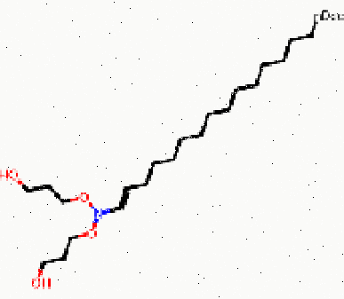 CCCCCCCCCCCCCCCCCCCCCCCC=CN(OCCCO)OCCCO